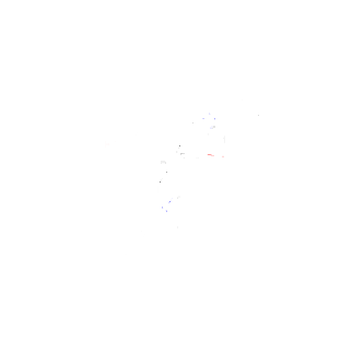 Cc1ccc(O)c2c1[C@]13CC4[C@@H](N4CC4CC4)[C@]1(O)CC[C@@H](N1Cc4ccccc4C1=O)[C@@H]3O2